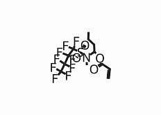 C=CC(=O)OC(CCC)N(C)S(=O)(=O)C(F)(F)C(F)(F)C(F)(F)C(F)(F)F